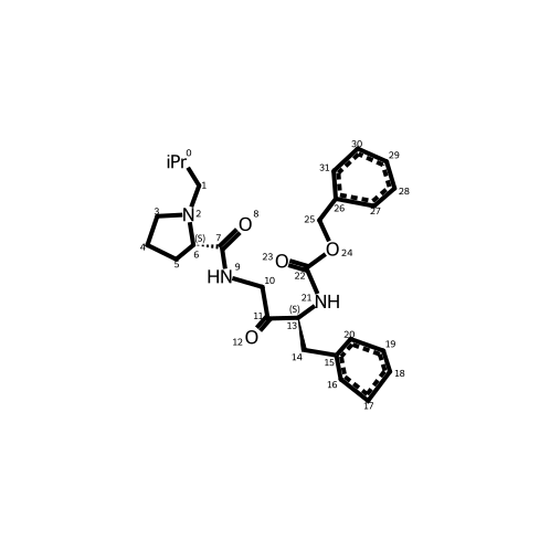 CC(C)CN1CCC[C@H]1C(=O)NCC(=O)[C@H](Cc1ccccc1)NC(=O)OCc1ccccc1